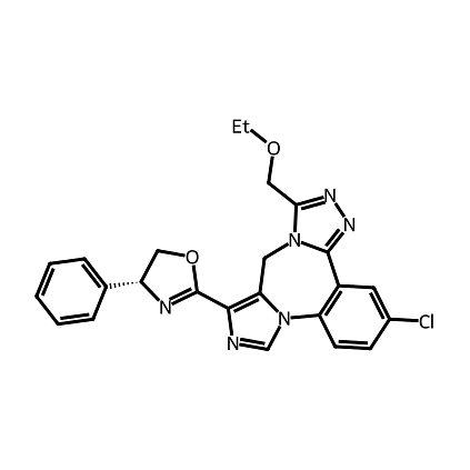 CCOCc1nnc2n1Cc1c(C3=N[C@H](c4ccccc4)CO3)ncn1-c1ccc(Cl)cc1-2